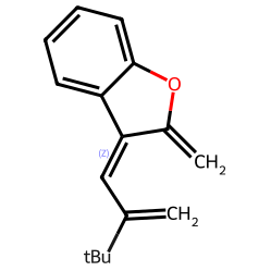 C=C(/C=c1\c(=C)oc2ccccc12)C(C)(C)C